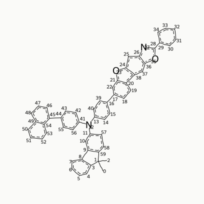 CC1(C)c2ccccc2-c2cc(N(c3ccc(-c4ccc5c(c4)oc4cc6nc(-c7ccccc7)oc6cc45)cc3)c3ccc(-c4cccc5ccccc45)cc3)ccc21